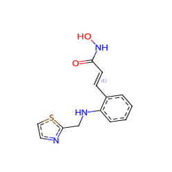 O=C(/C=C/c1ccccc1NCc1nccs1)NO